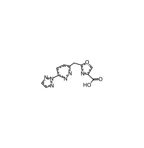 O=C(O)c1coc(Cc2ccc(-n3nccn3)nn2)n1